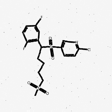 CS(=O)(=O)CCCCC(c1cc(F)ccc1F)S(=O)(=O)c1ccc(Cl)nc1